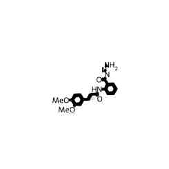 COc1ccc(/C=C/C(=O)Nc2ccccc2C(=O)N=NN)cc1OC